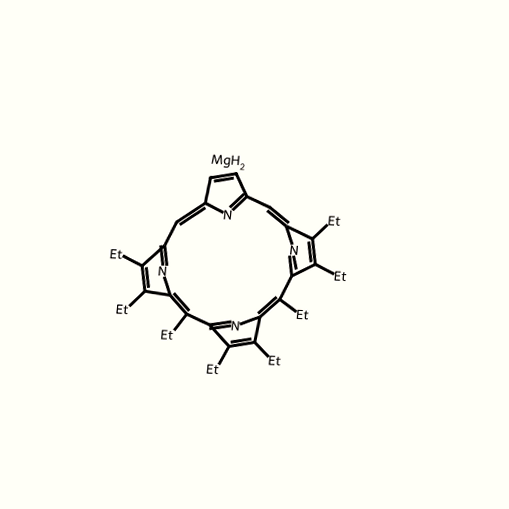 CCC1=C(CC)C2=NC1=CC1=NC(=CC3=NC(=C(CC)C4=NC(=C2CC)C(CC)=C4CC)C(CC)=C3CC)C=C1.[MgH2]